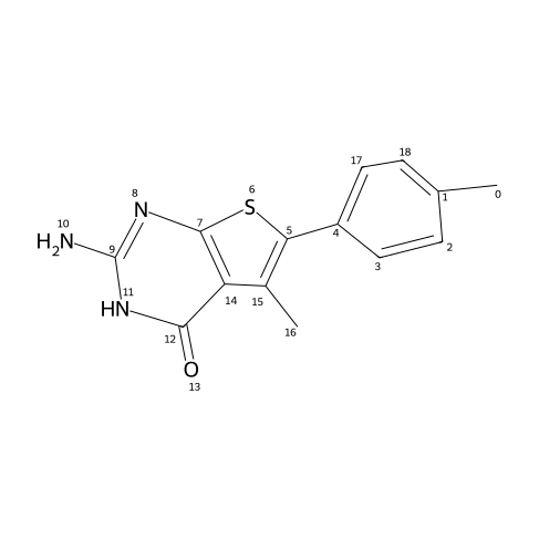 Cc1ccc(-c2sc3nc(N)[nH]c(=O)c3c2C)cc1